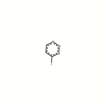 Ic1ccnnn1